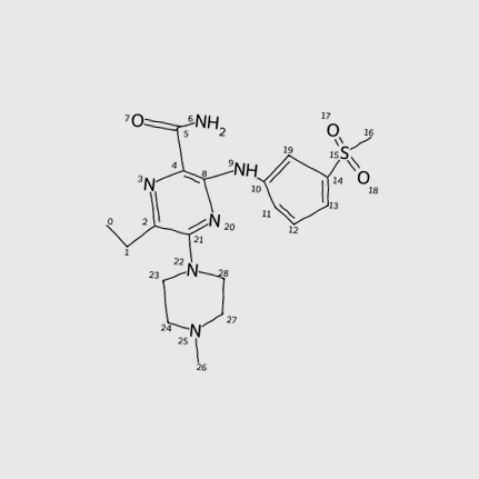 CCc1nc(C(N)=O)c(Nc2cccc(S(C)(=O)=O)c2)nc1N1CCN(C)CC1